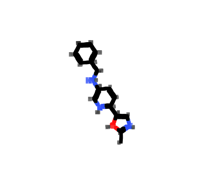 Cc1ncc(-c2ccc(NCc3ccccc3)cn2)o1